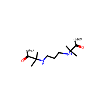 CCCCCCC(=O)C(C)(C)NCCCNC(C)(C)C(=O)CCCCCC